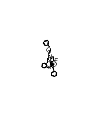 O=S(=O)(c1nn(CCOCc2ccccc2)cc1F)N(Cc1ccccc1)Cc1ccccc1